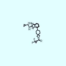 O=C(C1CC1(F)F)N1CC2(CCC(c3cccc4nc(NC(O)C5CC5)nn34)CC2)C1